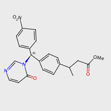 COC(=O)CC(C)c1ccc([C@H](c2ccc([N+](=O)[O-])cc2)n2cnccc2=O)cc1